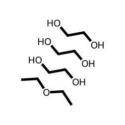 CCOCC.OCCO.OCCO.OCCO